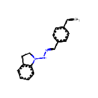 C=Cc1ccc(C=NNN2CCc3ccccc32)cc1